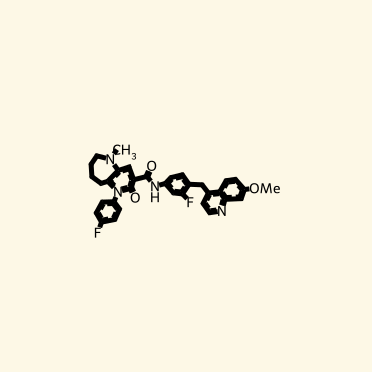 COc1ccc2c(Cc3ccc(NC(=O)c4cc5c(n(-c6ccc(F)cc6)c4=O)CCCCN5C)cc3F)ccnc2c1